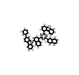 c1ccc(-c2ccc3c4ccccc4n(-c4ccc(-c5nc(-c6ccc7ccccc7c6)nc(-c6cccc7oc8ccccc8c67)n5)c5ccccc45)c3c2)cc1